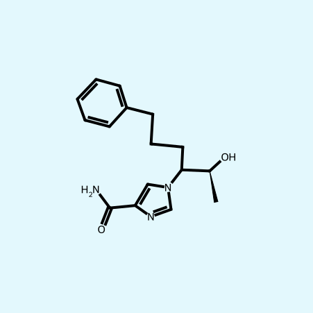 C[C@H](O)C(CCCc1ccccc1)n1cnc(C(N)=O)c1